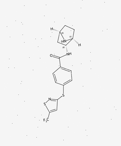 O=C(N[C@@H]1C[C@H]2CC[C@@H]1N2)c1ccc(Sc2cc(C(F)(F)F)sn2)cc1